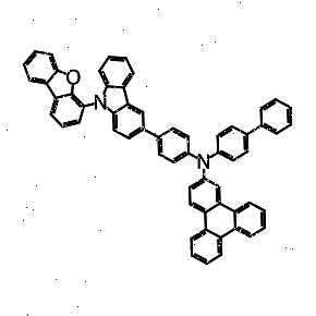 c1ccc(-c2ccc(N(c3ccc(-c4ccc5c(c4)c4ccccc4n5-c4cccc5c4oc4ccccc45)cc3)c3ccc4c5ccccc5c5ccccc5c4c3)cc2)cc1